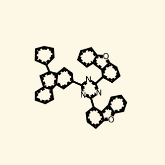 c1ccc(-c2cc3ccccc3c3cc(-c4nc(-c5cccc6oc7ccccc7c56)nc(-c5cccc6oc7ccccc7c56)n4)ccc23)cc1